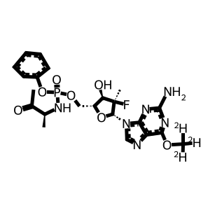 [2H]C([2H])([2H])Oc1nc(N)nc2c1ncn2[C@@H]1O[C@H](COP(=O)(N[C@@H](C)C(C)=O)Oc2ccccc2)[C@@H](O)[C@@]1(C)F